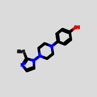 CSc1nccn1N1CCN(c2ccc(O)cc2)CC1